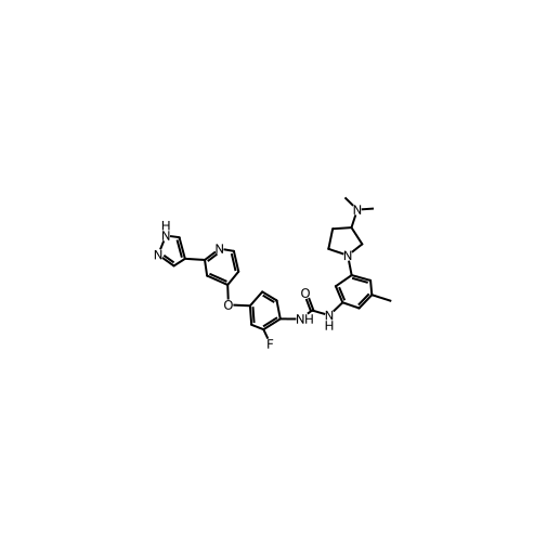 Cc1cc(NC(=O)Nc2ccc(Oc3ccnc(-c4cn[nH]c4)c3)cc2F)cc(N2CCC(N(C)C)C2)c1